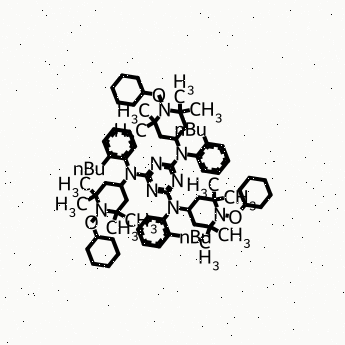 CCCCc1ccccc1N(c1nc(N(c2ccccc2CCCC)C2CC(C)(C)N(OC3CCCCC3)C(C)(C)C2)nc(N(c2ccccc2CCCC)C2CC(C)(C)N(OC3CCCCC3)C(C)(C)C2)n1)C1CC(C)(C)N(OC2CCCCC2)C(C)(C)C1